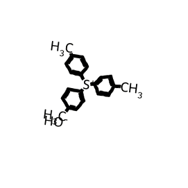 Cc1ccc([S+](c2ccc(C)cc2)c2ccc(C)cc2)cc1.[OH-]